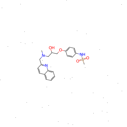 CN(Cc1ccc2ccccc2n1)CC(O)COc1ccc(NS(C)(=O)=O)cc1